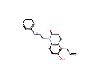 C=CCc1c(O)ccc2c1CCC(=O)N2C/C=C/c1ccccc1